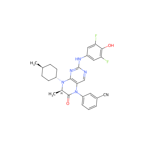 C[C@@H]1C(=O)N(c2cccc(C#N)c2)c2cnc(Nc3cc(F)c(O)c(F)c3)nc2N1[C@H]1CC[C@H](C)CC1